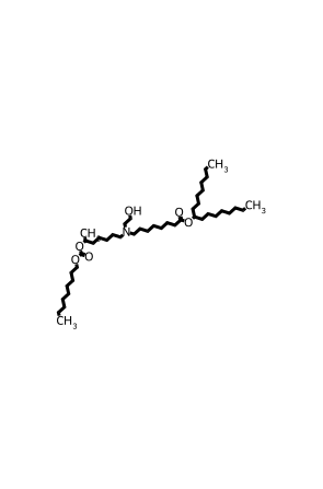 CCCCCCCCCOC(=O)OC(C)CCCCCN(CCO)CCCCCCCC(=O)OC(CCCCCCCC)CCCCCCCC